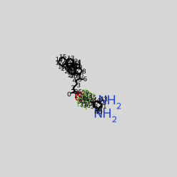 CC(CCCC(C)[C@H]1CC[C@H]2[C@@H]3CCC4CCCC[C@]4(C)[C@H]3CC[C@]12C)COC(F)(F)C(F)(F)C(F)(F)c1cc(N)cc(N)c1